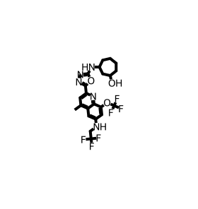 Cc1cc(-c2nnc(NC3CCCCC(O)C3)o2)nc2c(OC(F)(F)F)cc(NCC(F)(F)F)cc12